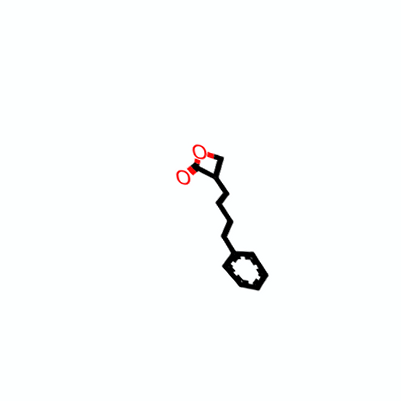 O=C1OCC1CCCCc1ccccc1